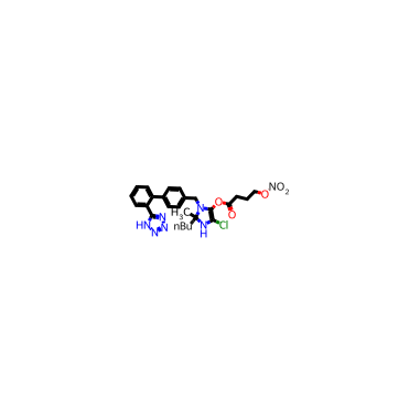 CCCCC1(C)NC(Cl)=C(OC(=O)CCCO[N+](=O)[O-])N1Cc1ccc(-c2ccccc2-c2nnn[nH]2)cc1